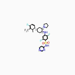 CC1C(C(F)(F)F)=C(F)C=CC1[C@H]1CC[C@H](Nc2cc(F)c(S(=O)(=O)Nc3ccncn3)cc2F)[C@@H](N2CCCC2)C1